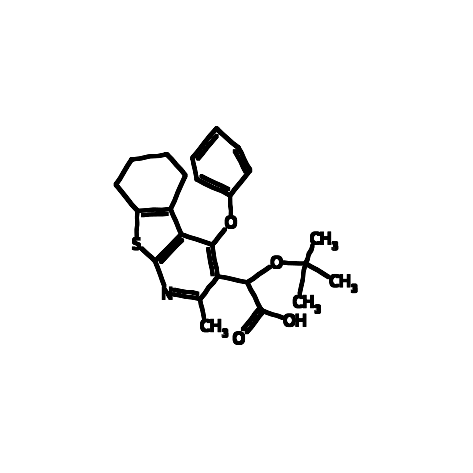 Cc1nc2sc3c(c2c(Oc2ccccc2)c1C(OC(C)(C)C)C(=O)O)CCCC3